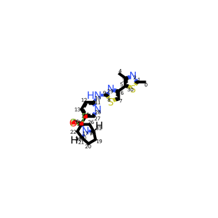 Cc1nc(C)c(-c2csc(Nc3ccc(C(=O)N4[C@@H]5CC[C@H]4CC(F)(F)C5)cn3)n2)s1